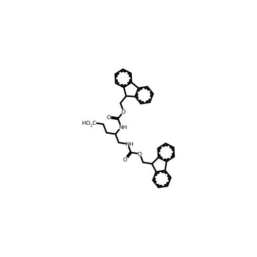 O=C(O)CCC(CNC(=O)OCC1c2ccccc2-c2ccccc21)NC(=O)OCC1c2ccccc2-c2ccccc21